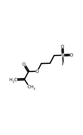 C=C(C)C(=O)OCCCS(=O)(=O)F